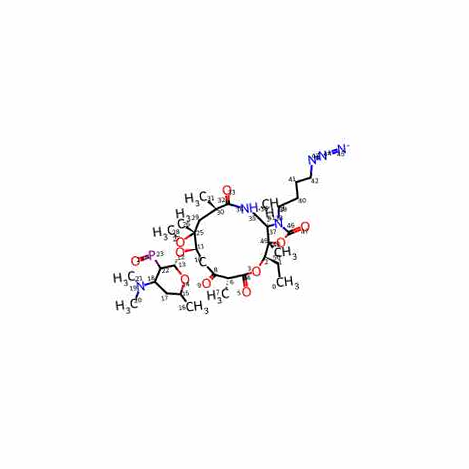 CC[C@H]1OC(=O)[C@H](C)C(=O)C[C@@H](O[C@@H]2OC(C)CC(N(C)C)C2P=O)[C@](C)(OC)C[C@@H](C)C(=O)N[C@H](C)[C@H]2N(CCCCN=[N+]=[N-])C(=O)O[C@]12C